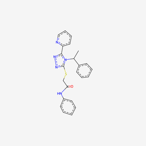 CC(c1ccccc1)n1c(SCC(=O)Nc2ccccc2)nnc1-c1ccccn1